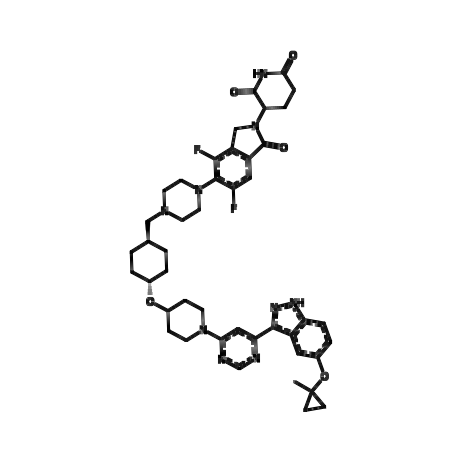 CC1(Oc2ccc3[nH]nc(-c4cc(N5CCC(O[C@H]6CC[C@H](CN7CCN(c8c(F)cc9c(c8F)CN(C8CCC(=O)NC8=O)C9=O)CC7)CC6)CC5)ncn4)c3c2)CC1